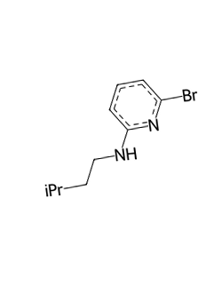 CC(C)CCNc1cccc(Br)n1